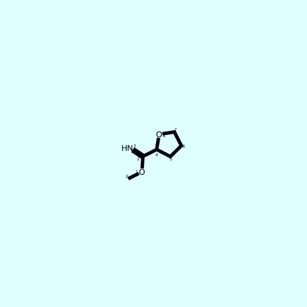 COC(=N)C1CCCO1